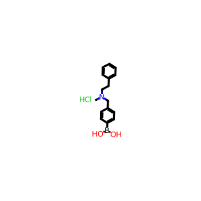 CN(CCc1ccccc1)Cc1ccc(B(O)O)cc1.Cl